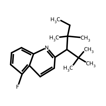 CCC(C)(C)C(c1ccc2c(F)cccc2n1)C(C)(C)C